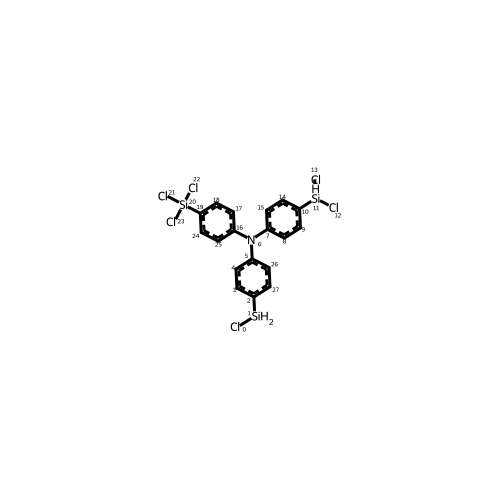 Cl[SiH2]c1ccc(N(c2ccc([SiH](Cl)Cl)cc2)c2ccc([Si](Cl)(Cl)Cl)cc2)cc1